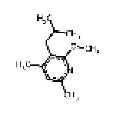 COc1nc(C)cc(C)c1CC(C)C